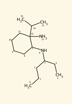 CCCC(CC)NC1CCCCC1(N)C(C)C